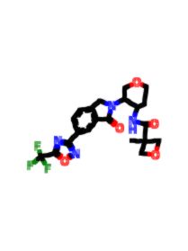 CC1(C(=O)NC2CCOCC2N2Cc3ccc(-c4noc(C(F)(F)F)n4)cc3C2=O)COC1